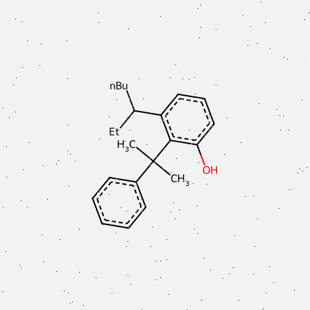 CCCCC(CC)c1cccc(O)c1C(C)(C)c1ccccc1